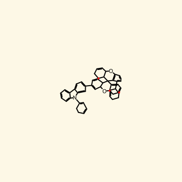 C1=CCCC(n2c3ccccc3c3ccc(C4=CC5OC6CC=CC=C6C6(c7c(cccc7C7C=CCCC7)OC7C=CCCC76)C5C=C4)cc32)=C1